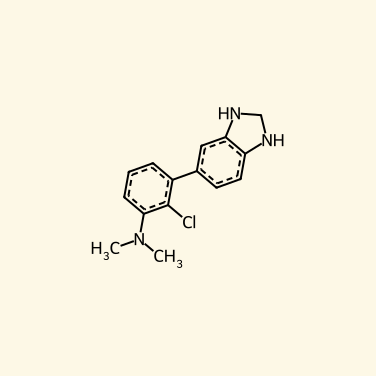 CN(C)c1cccc(-c2ccc3c(c2)NCN3)c1Cl